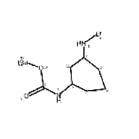 CCNC1CCCC(NC(=O)OC(C)(C)C)C1